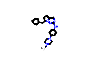 CN1CCN(c2ccc(Nc3ncc4ccc(Cc5ccccc5)n4n3)cc2)CC1